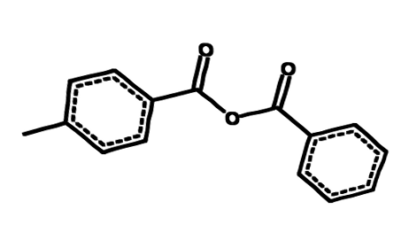 Cc1ccc(C(=O)OC(=O)c2ccccc2)cc1